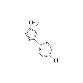 [CH2]c1csc(-c2ccc(Cl)cc2)c1